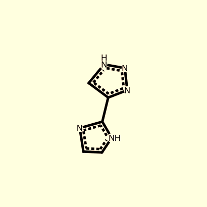 c1c[nH]c(-c2c[nH]nn2)n1